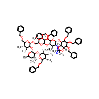 CCC1O[C@H](OC2[C@@H](OCC3O[C@H](O[C@@H]4C(COCc5ccccc5)O[C@H](OC5C(OCc6ccccc6)C(OCc6ccccc6)C(OCc6ccccc6)[C@@H]6OC(C)(C)O[C@@H]56)C(N=[N+]=[N-])[C@H]4C)C(OCc4ccccc4)[C@@H](C)[C@@H]3C)OC(COCc3ccccc3)[C@@H](C)[C@@H]2C)C(O[C@H]2OC(COCc3ccccc3)[C@@H](C)[C@H](C)C2OC(C)=O)[C@@H](C)[C@@H]1C